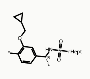 CCCCCCCS(=O)(=O)N[C@H](C)c1ccc(F)c(OCC2CC2)c1